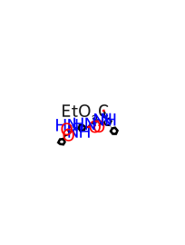 CCOC(=O)CCN1CC[C@H](c2ccccc2)C[C@@H]1C(=O)NC(C)C(=O)NCc1ccc(C(=N)NC(=O)OCc2ccccc2)cc1